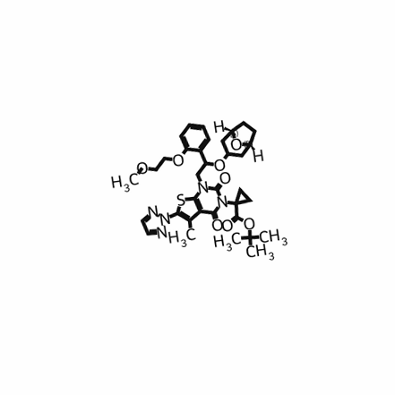 COCCOc1ccccc1C(Cn1c(=O)n(C2(C(=O)OC(C)(C)C)CC2)c(=O)c2c(C)c(-n3nccn3)sc21)OC1C[C@H]2CC[C@@H](C1)O2